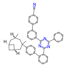 C[C@@H]1CC(C)(c2ccc(-c3ccccc3-c3nc(-c4ccccc4)nc(-c4cccc(-c5ccc(C#N)cc5)c4)n3)cc2)C[C@H]2C[C@H](C1)C2